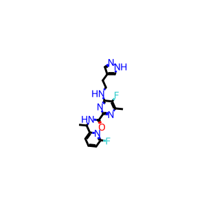 Cc1nc(C(=O)NC(C)c2cccc(F)n2)nc(NCCc2cn[nH]c2)c1F